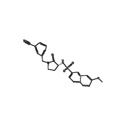 COc1ccc2ccc(S(=O)(=O)N[C@@H]3CCN(Cc4cccc(C#N)c4)C3=O)cc2c1